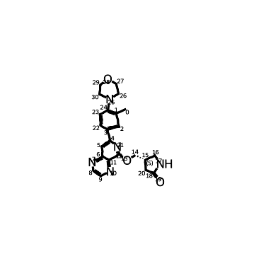 Cc1cc(-c2cc3nccnc3c(OC[C@@H]3CNC(=O)C3)n2)ccc1N1CCOCC1